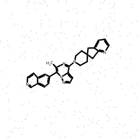 Cc1nc(N2CCC3(CC2)Cc2cccnc2C3)c2ccnn2c1-c1ccc2cnccc2c1